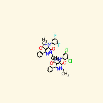 CCn1nc(-c2ccccc2)c(C(C)=O)c(Nc2cc(Cl)cc(Cl)c2)c1=O.CCn1nc(-c2ccccc2)c(C(C)=O)c(Nc2cc(F)cc(F)c2)c1=O